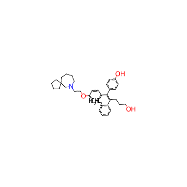 C=C(/C=C\C(=C)/C(=C(/CCCO)c1ccccc1)c1ccc(O)cc1)OCCN1CCCCC2(CCCC2)C1